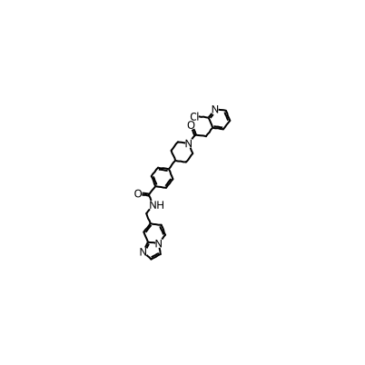 O=C(NCc1ccn2ccnc2c1)c1ccc(C2CCN(C(=O)Cc3cccnc3Cl)CC2)cc1